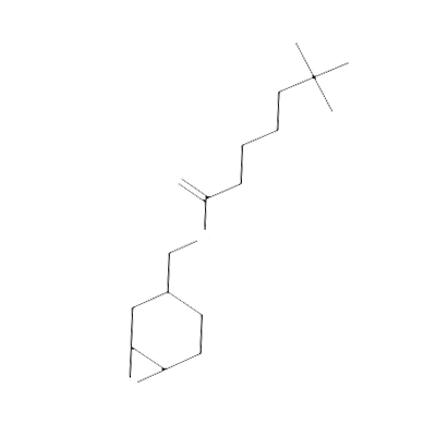 CC(C)(C)CCCCC(=O)OCC1CCC2OC2C1